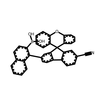 N#Cc1ccc2c(c1)C1(c3ccccc3Oc3ccccc31)c1cc(-c3c(B(O)O)ccc4ccccc34)ccc1-2